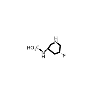 O=C(O)N[C@H]1CNC[C@H](F)C1